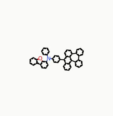 c1ccc(N(c2ccc(-c3c4ccccc4c4c5c(cccc35)-c3ccccc3-c3ccccc3-4)cc2)c2cccc3c2oc2ccccc23)cc1